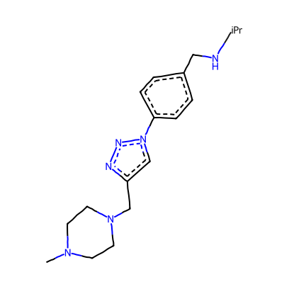 CC(C)NCc1ccc(-n2cc(CN3CCN(C)CC3)nn2)cc1